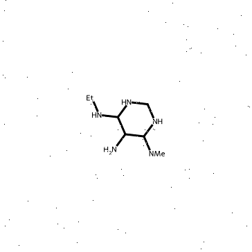 CCNC1NCNC(NC)C1N